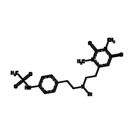 CCN(CCc1ccc(NS(C)(=O)=O)cc1)CCc1cc(=O)n(C)c(=O)n1C